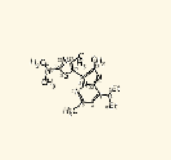 CCC(CC)c1cc(C)nn2c(-c3sc(N(C)C)nc3C)c(C)nc12